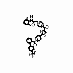 Cc1cccc(C)c1NC(=O)CN1CCN(C(=O)c2csc(C3CCN(C(=O)c4ccccc4-c4ccc(C(F)(F)F)cc4)CC3)n2)CC1